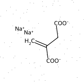 C=C(CC(=O)[O-])C(=O)[O-].[Na+].[Na+]